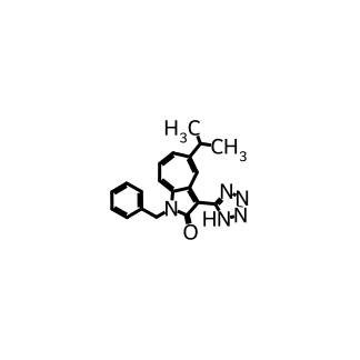 CC(C)c1cccc2n(Cc3ccccc3)c(=O)c(-c3nnn[nH]3)c-2c1